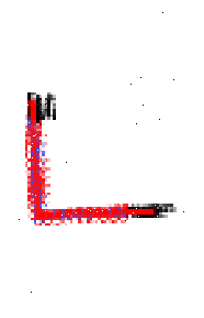 O=[N+]([O-])[O-].O=[N+]([O-])[O-].O=[N+]([O-])[O-].O=[N+]([O-])[O-].O=[N+]([O-])[O-].O=[N+]([O-])[O-].O=[N+]([O-])[O-].O=[N+]([O-])[O-].O=[N+]([O-])[O-].O=[N+]([O-])[O-].O=[N+]([O-])[O-].O=[N+]([O-])[O-].O=[N+]([O-])[O-].O=[N+]([O-])[O-].O=[N+]([O-])[O-].O=[N+]([O-])[O-].O=[N+]([O-])[O-].O=[N+]([O-])[O-].O=[N+]([O-])[O-].O=[N+]([O-])[O-].O=[N+]([O-])[O-].[Fe+3].[Fe+3].[Fe+3].[Fe+3].[Fe+3].[Fe+3].[Fe+3].[Fe+3].[Fe+3].[Fe+3].[Fe+3].[Fe+3].[Fe+3].[Fe+3].[Fe+3].[Fe+3].[Fe+3].[Fe+3].[Fe+3].[Fe+3].[Fe+3]